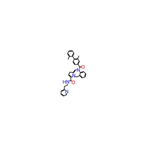 Cc1ccccc1-c1ccc(C(=O)N2C=C3CC=C(C(=O)NCCc4ccccn4)N3Cc3ccccc32)cc1C